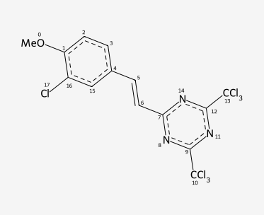 COc1ccc(C=Cc2nc(C(Cl)(Cl)Cl)nc(C(Cl)(Cl)Cl)n2)cc1Cl